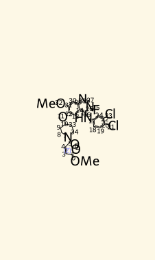 COC(=O)/C=C\C(=O)N1CCC(Oc2cc3c(Nc4ccc(Cl)c(Cl)c4F)ncnc3cc2OC)CC1